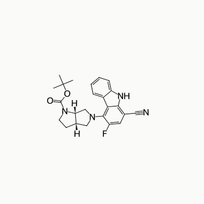 CC(C)(C)OC(=O)N1CC[C@H]2CN(c3c(F)cc(C#N)c4[nH]c5ccccc5c34)C[C@H]21